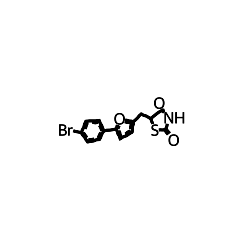 O=C1NC(=O)C(Cc2ccc(-c3ccc(Br)cc3)o2)S1